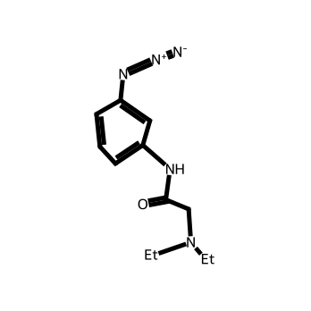 CCN(CC)CC(=O)Nc1cccc(N=[N+]=[N-])c1